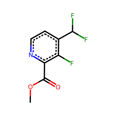 COC(=O)c1nccc(C(F)F)c1F